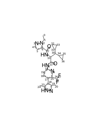 CCn1nccc1C(=O)NC(C(=O)Nc1ccc(-c2c(C)n[nH]c2C)c(C(F)F)n1)C(C1CC1)C1CC1